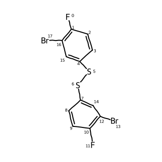 Fc1ccc(SSc2ccc(F)c(Br)c2)cc1Br